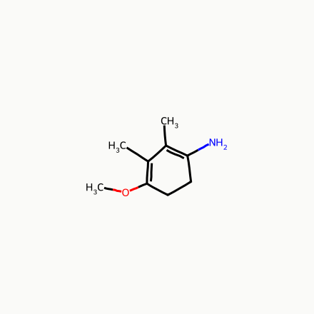 COC1=C(C)C(C)=C(N)CC1